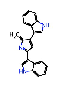 C=C1N=C(c2c[nH]c3ccccc23)C=C1c1c[nH]c2ccccc12